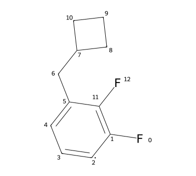 Fc1[c]ccc(CC2CCC2)c1F